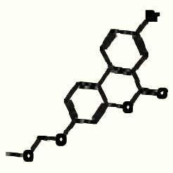 COCOc1ccc2c(c1)oc(=O)c1cc(Br)ccc12